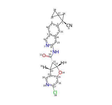 N#C[C@]1(c2ccc3cnc(NC(=O)[C@@H]4[C@@H]5Oc6cc(Cl)ncc6[C@@H]54)cc3c2)CC12CC2